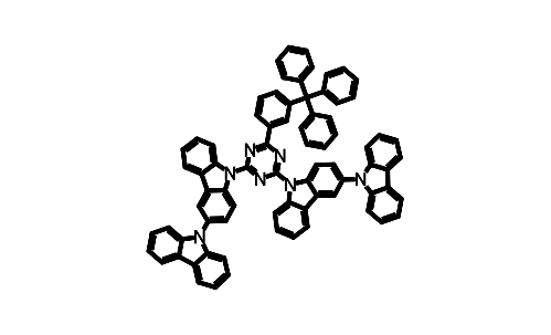 c1ccc(C(c2ccccc2)(c2ccccc2)c2cccc(-c3nc(-n4c5ccccc5c5cc(-n6c7ccccc7c7ccccc76)ccc54)nc(-n4c5ccccc5c5cc(-n6c7ccccc7c7ccccc76)ccc54)n3)c2)cc1